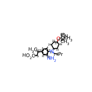 CC(C)CN(c1ccc([C@H](C)CC(=O)O)cc1N)C1CCC(O[Si](C)(C)C(C)(C)C)CC1